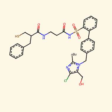 CCCCc1nc(Cl)c(CO)n1Cc1ccc(-c2ccccc2S(=O)(=O)NC(=O)CCNC(=O)C(CS)Cc2ccccc2)cc1